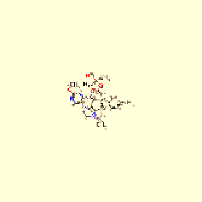 COc1cnc(N2CCn3c(C)cc4c(-c5ccc(C)cc5)c(CC(=O)OC(C)(C)O)c(C)c2c43)cn1